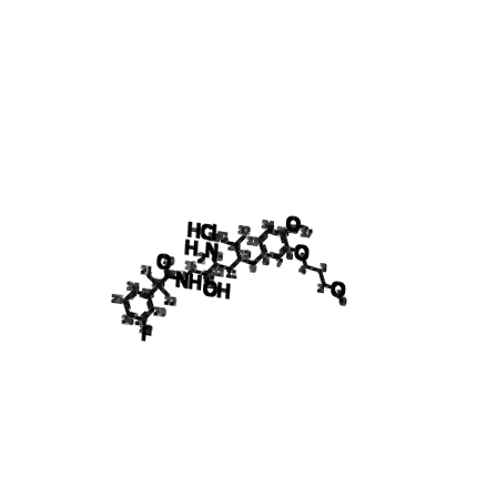 COCCCOc1cc(C[C@@H](C[C@H](N)[C@@H](O)CNC(=O)C(C)(C)c2cccc(F)c2)C(C)C)ccc1OC.Cl